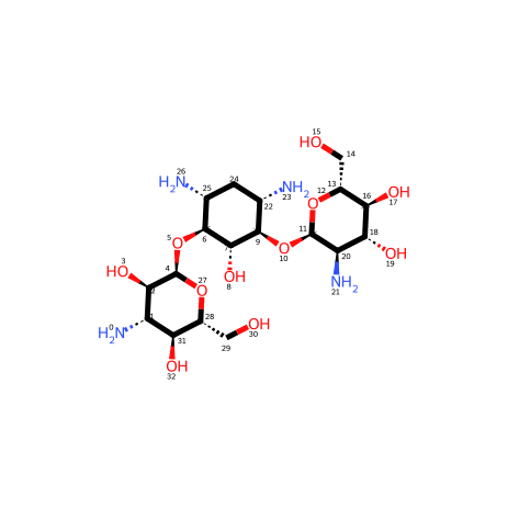 N[C@@H]1[C@@H](O)[C@@H](O[C@@H]2[C@@H](O)[C@H](O[C@H]3O[C@H](CO)[C@@H](O)[C@H](O)[C@H]3N)[C@@H](N)C[C@H]2N)O[C@H](CO)[C@H]1O